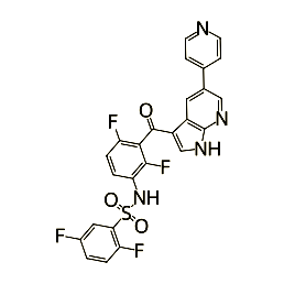 O=C(c1c(F)ccc(NS(=O)(=O)c2cc(F)ccc2F)c1F)c1c[nH]c2ncc(-c3ccncc3)cc12